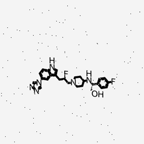 OC[C@H](NC1CCN(C[C@H](F)Cc2c[nH]c3ccc(-n4cnnc4)cc23)CC1)c1ccc(F)cc1